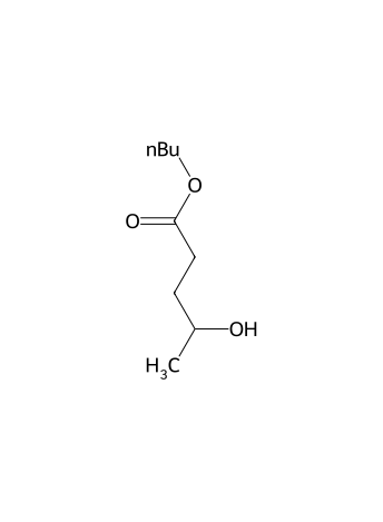 CCCCOC(=O)CCC(C)O